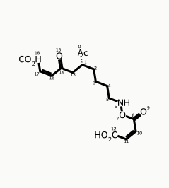 CC(=O)[C@H](CCCCNOC(=O)/C=C\C(=O)O)CC(=O)/C=C\C(=O)O